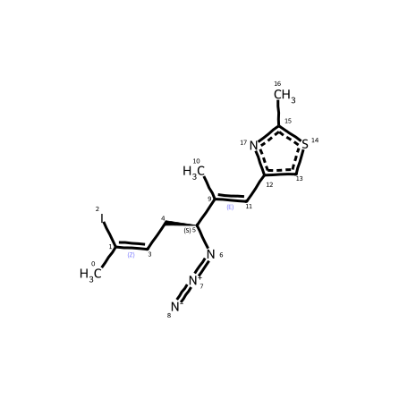 C/C(I)=C/C[C@H](N=[N+]=[N-])/C(C)=C/c1csc(C)n1